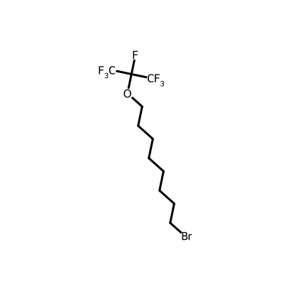 FC(F)(F)C(F)(OCCCCCCCCBr)C(F)(F)F